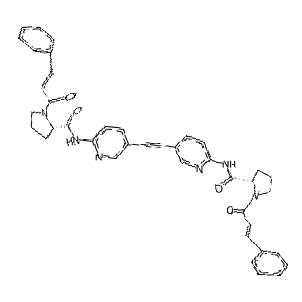 O=C(Nc1ccc(C#Cc2ccc(NC(=O)[C@@H]3CCCN3C(=O)/C=C/c3ccccc3)nc2)cn1)[C@@H]1CCCN1C(=O)/C=C/c1ccccc1